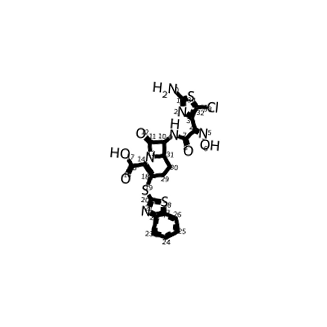 Nc1nc(/C(=N/O)C(=O)NC2C(=O)N3C(C(=O)O)=C(Sc4nc5ccccc5s4)CCC23)c(Cl)s1